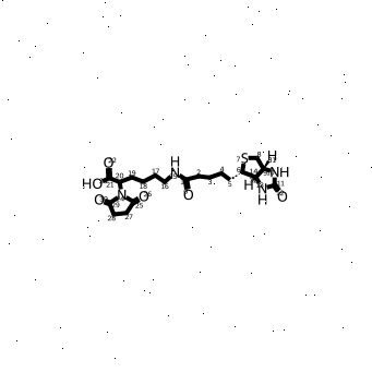 O=C(CCCC[C@@H]1SC[C@@H]2NC(=O)N[C@@H]21)NCCCCC(C(=O)O)N1C(=O)CCC1=O